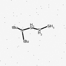 CC(C)(C)N([SiH2][SiH2][SiH3])C(C)(C)C